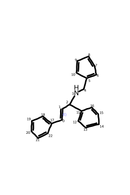 C(=C\C(NCc1ccccc1)c1ccccc1)/c1ccccc1